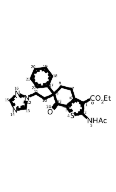 CCOC(=O)c1c(NC(C)=O)sc2c1CCC(CCn1cncn1)(c1ccccc1)C2=O